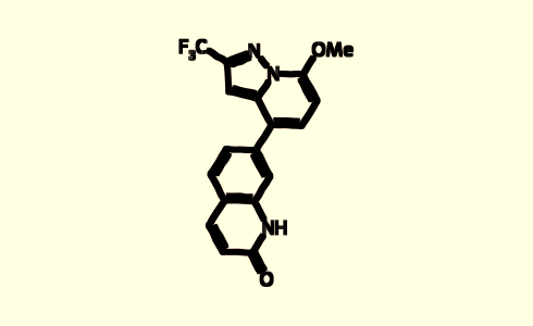 COc1ccc(-c2ccc3ccc(=O)[nH]c3c2)c2cc(C(F)(F)F)nn12